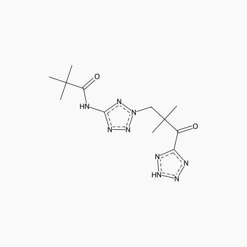 CC(C)(C)C(=O)Nc1nnn(CC(C)(C)C(=O)c2nn[nH]n2)n1